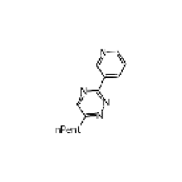 CCCCCc1cnc(-c2cccnc2)nn1